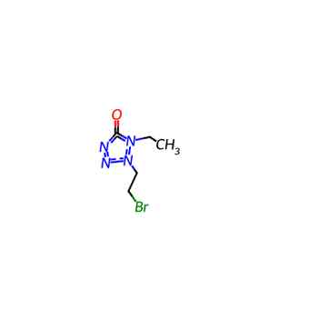 CCn1c(=O)nnn1CCBr